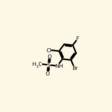 CS(=O)(=O)Nc1c(Cl)cc(F)cc1Br